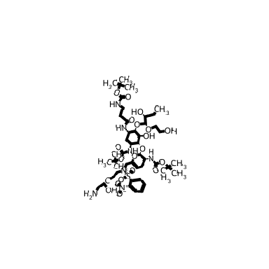 CC[C@@H](O)[C@H](OCCO)O[C@@H]1[C@@H](O)[C@H](O[C@H]2OC(CN(CCCC(O)CN)S(=O)(=O)c3ccccc3[N+](=O)[O-])=CC[C@H]2NC(=O)OC(C)(C)C)[C@@H](NC(=O)OC(C)(C)C)C[C@H]1NC(=O)CCNC(=O)OC(C)(C)C